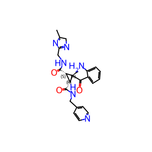 CC1=NC(CNC(=O)[C@H]2[C@@H](C(=O)NCc3ccncc3)[C@@]2(C)C(=O)c2ccccc2N)=NC1